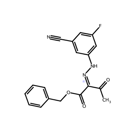 CC(=O)/C(=N\Nc1cc(F)cc(C#N)c1)C(=O)OCc1ccccc1